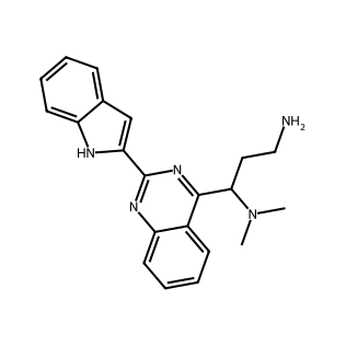 CN(C)C(CCN)c1nc(-c2cc3ccccc3[nH]2)nc2ccccc12